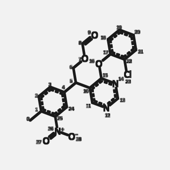 Cc1ccc(C(COC=O)c2cncnc2Oc2ccccc2Cl)cc1[N+](=O)[O-]